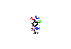 CC(C)C(=O)Nc1ccc(C(=O)N(C)C)c(Cl)c1